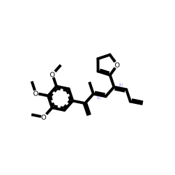 C=C/C=C(\C=C(/C)C(=C)c1cc(OC)c(OC)c(OC)c1)C1=CCCO1